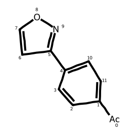 CC(=O)c1ccc(-c2ccon2)cc1